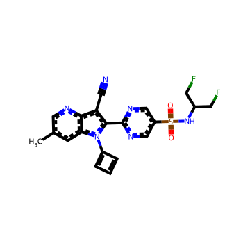 Cc1cnc2c(C#N)c(-c3ncc(S(=O)(=O)NC(CF)CF)cn3)n(C3=CC=C3)c2c1